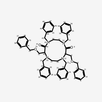 O=C1C(COCc2ccccc2)N(Cc2ccccc2)CCN(Cc2ccccc2)C(COCc2ccccc2)C(=O)N(Cc2ccccc2)CCN1Cc1ccccc1